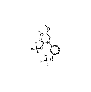 COC(CN(C(=O)OC(F)(F)F)c1cccc(OC(F)(F)F)c1)OC